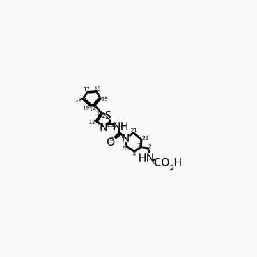 O=C(O)NCC1CCN(C(=O)Nc2ncc(-c3ccccc3)s2)CC1